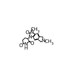 CN1Cc2cc3c(cc2C1)n(C1CCC(=O)NC1=O)c(=O)n3C